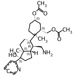 CC(=O)OC[C@H]1C[C@@H](OC(C)=O)CC[C@]1(C)[C@H]1CC[C@@]2(C)[C@@H](CC[C@@]2(O)c2ccccn2)[C@@H]1CN